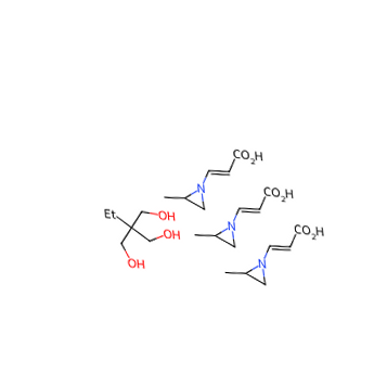 CC1CN1C=CC(=O)O.CC1CN1C=CC(=O)O.CC1CN1C=CC(=O)O.CCC(CO)(CO)CO